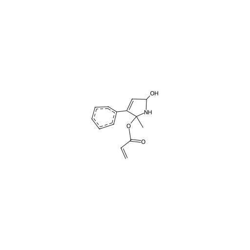 C=CC(=O)OC1(C)NC(O)C=C1c1ccccc1